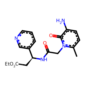 CCOC(=O)C[C@H](NC(=O)Cn1c(C)ccc(N)c1=O)c1cccnc1